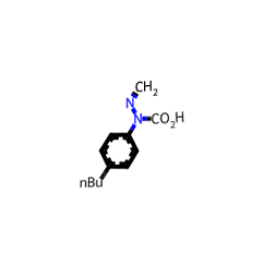 C=NN(C(=O)O)c1ccc(CCCC)cc1